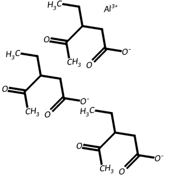 CCC(CC(=O)[O-])C(C)=O.CCC(CC(=O)[O-])C(C)=O.CCC(CC(=O)[O-])C(C)=O.[Al+3]